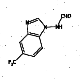 O=CNn1cnc2cc(C(F)(F)F)ccc21